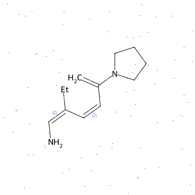 C=C(/C=C\C(=C/N)CC)N1CCCC1